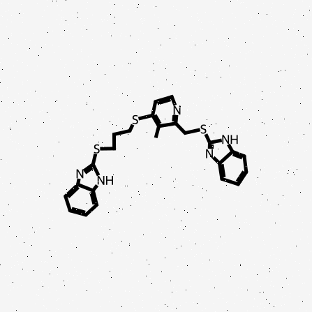 Cc1c(SCCCSc2nc3ccccc3[nH]2)ccnc1CSc1nc2ccccc2[nH]1